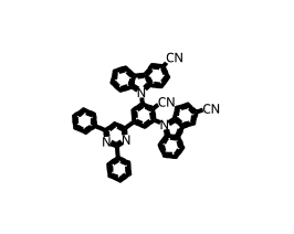 N#Cc1ccc2c(c1)c1ccccc1n2-c1cc(-c2cc(-c3ccccc3)nc(-c3ccccc3)n2)cc(-n2c3ccccc3c3cc(C#N)ccc32)c1C#N